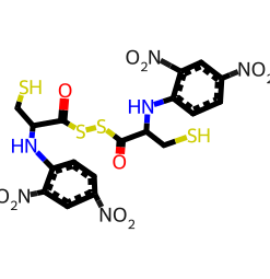 O=C(SSC(=O)C(CS)Nc1ccc([N+](=O)[O-])cc1[N+](=O)[O-])C(CS)Nc1ccc([N+](=O)[O-])cc1[N+](=O)[O-]